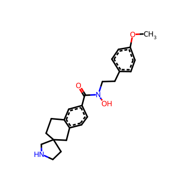 COc1ccc(CCN(O)C(=O)c2ccc3c(c2)CCC2(CCNC2)C3)cc1